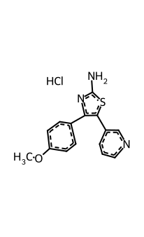 COc1ccc(-c2nc(N)sc2-c2cccnc2)cc1.Cl